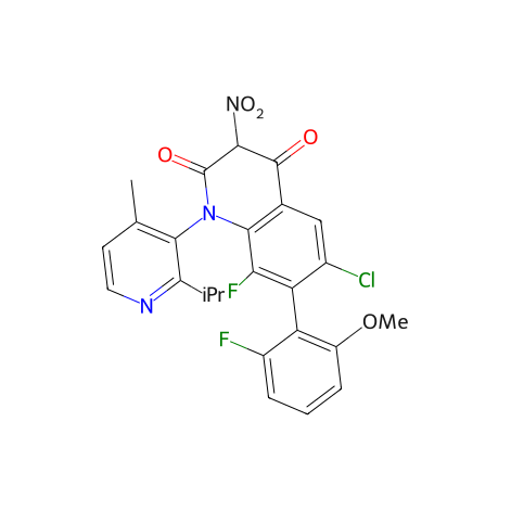 COc1cccc(F)c1-c1c(Cl)cc2c(c1F)N(c1c(C)ccnc1C(C)C)C(=O)C([N+](=O)[O-])C2=O